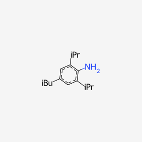 CCC(C)c1cc(C(C)C)c(N)c(C(C)C)c1